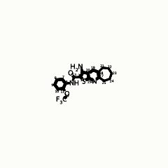 Nc1c(C(=O)Nc2ccccc2OC(F)(F)F)sc2nc3c(cc12)CCCCC3